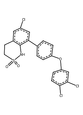 O=S1(=O)CCc2cc(Cl)cc(-c3ccc(Oc4ccc(Cl)c(Cl)c4)cc3)c2N1